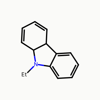 CCN1c2ccccc2C2C=CC=CC21